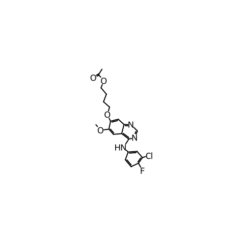 COc1cc2c(Nc3ccc(F)c(Cl)c3)ncnc2cc1OCCCCOC(C)=O